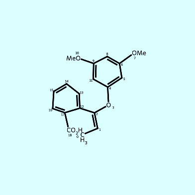 C/C=C(/Oc1cc(OC)cc(OC)c1)c1ccccc1C(=O)O